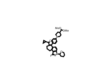 C=C(C1=C(c2ccc(N3CCC(C(OC)OC)CC3)cc2)c2ccc3c(c(F)nn3C3CCCCO3)c2CCC1)C1CC1